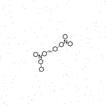 C(=C\c1ccc(N(c2ccccc2)c2ccc(-c3ccccc3)cc2)cc1)/c1ccc(-c2ccc(N(c3ccccc3)c3ccccc3)cc2)cc1